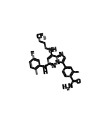 Cc1ccc(F)cc1Nc1cc(NCCCC(F)(F)F)c2ncc(-c3ccc(C(N)=O)c(C)c3)n2n1